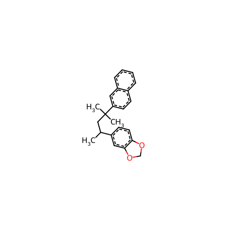 CC(CC(C)(C)c1ccc2ccccc2c1)c1ccc2c(c1)OCO2